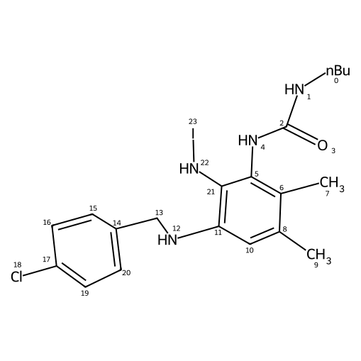 CCCCNC(=O)Nc1c(C)c(C)cc(NCc2ccc(Cl)cc2)c1NI